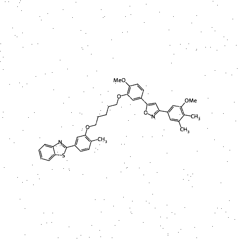 COc1ccc(-c2cc(-c3cc(C)c(C)c(OC)c3)no2)cc1OCCCCCOc1cc(-c2nc3ccccc3s2)ccc1C